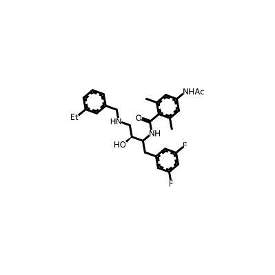 CCc1cccc(CNC[C@H](O)C(Cc2cc(F)cc(F)c2)NC(=O)c2c(C)cc(NC(C)=O)cc2C)c1